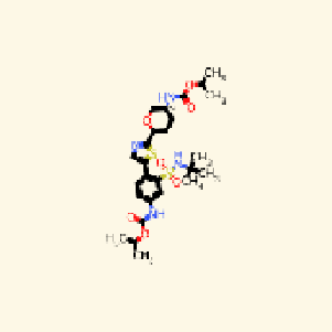 CC(C)OC(=O)Nc1ccc(-c2cnc(C3CC[C@H](NC(=O)OC(C)C)CO3)s2)c(S(=O)(=O)NC(C)(C)C)c1